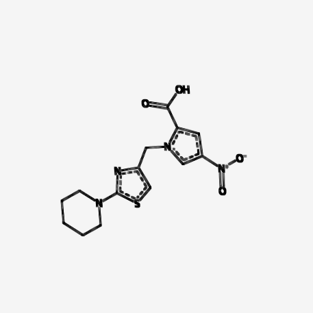 O=C(O)c1cc([N+](=O)[O-])cn1Cc1csc(N2CCCCC2)n1